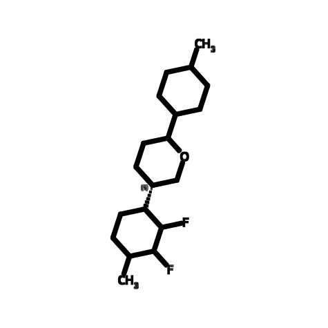 CC1CCC(C2CC[C@@H](C3CCC(C)C(F)C3F)CO2)CC1